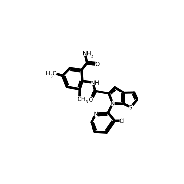 Cc1cc(C)c(NC(=O)c2cc3ccsc3n2-c2ncccc2Cl)c(C(N)=O)c1